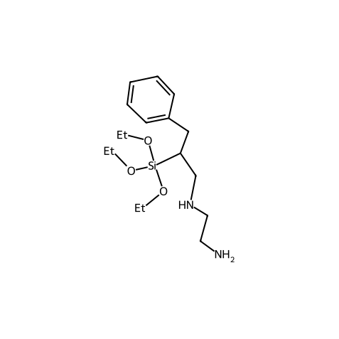 CCO[Si](OCC)(OCC)C(CNCCN)Cc1ccccc1